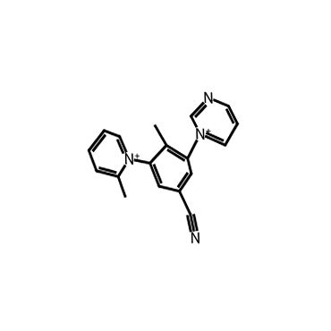 Cc1c(-[n+]2cccnc2)cc(C#N)cc1-[n+]1ccccc1C